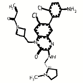 C=CC(=O)N1CC(Cn2c(=O)c(NC[C@@H]3CCCN3C)nc3cc(-c4cc(N)ccc4Cl)c(Cl)cc32)C1